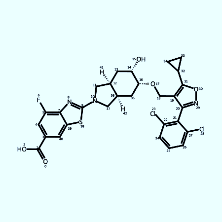 O=C(O)c1cc(F)c2nc(N3C[C@H]4C[C@H](O)[C@H](OCc5c(-c6c(Cl)cccc6Cl)noc5C5CC5)C[C@H]4C3)sc2c1